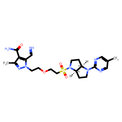 N=Cc1c(C(N)=O)c(C(F)(F)F)nn1CCOCCS(=O)(=O)N1CC[C@@H]2[C@H]1CCN2c1ncc(C(F)(F)F)cn1